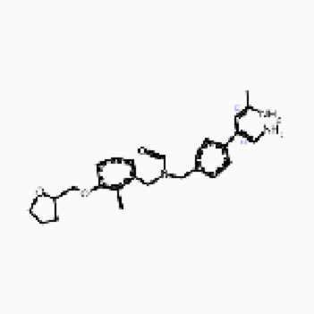 C/C(N)=C/C(=C\N)c1ccc(CN(C=O)Cc2cccc(OCC3CCCO3)c2C)cc1